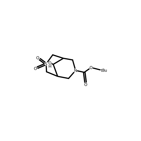 CC(C)(C)OC(=O)N1CC2CS(=O)(=O)CC(C1)C2O